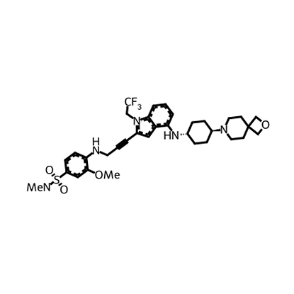 CNS(=O)(=O)c1ccc(NCC#Cc2cc3c(N[C@H]4CC[C@H](N5CCC6(CC5)COC6)CC4)cccc3n2CC(F)(F)F)c(OC)c1